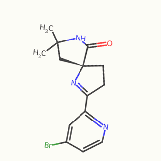 CC1(C)C[C@]2(CCC(c3cc(Br)ccn3)=N2)C(=O)N1